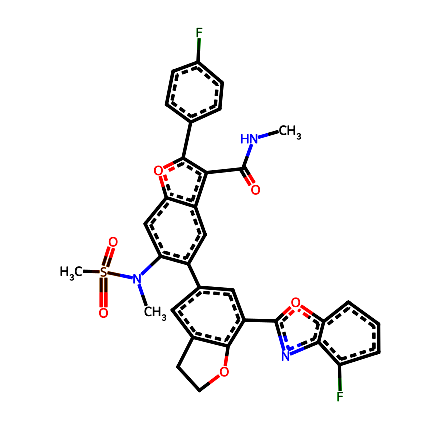 CNC(=O)c1c(-c2ccc(F)cc2)oc2cc(N(C)S(C)(=O)=O)c(-c3cc4c(c(-c5nc6c(F)cccc6o5)c3)OCC4)cc12